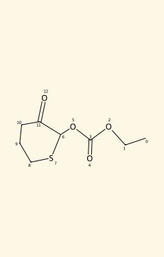 CCOC(=O)OC1SCCCC1=O